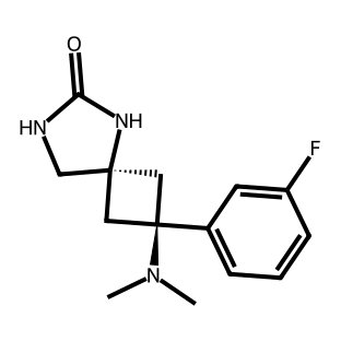 CN(C)[C@]1(c2cccc(F)c2)C[C@@]2(CNC(=O)N2)C1